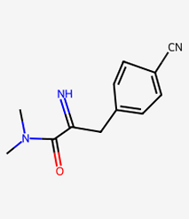 CN(C)C(=O)C(=N)Cc1ccc(C#N)cc1